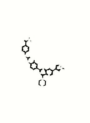 CN(C)C(=O)c1ccc(NC(=O)Nc2ccc(-c3nc(N4CCOCC4)c4ncc(-c5cnn(C)c5)cc4n3)cc2F)cc1